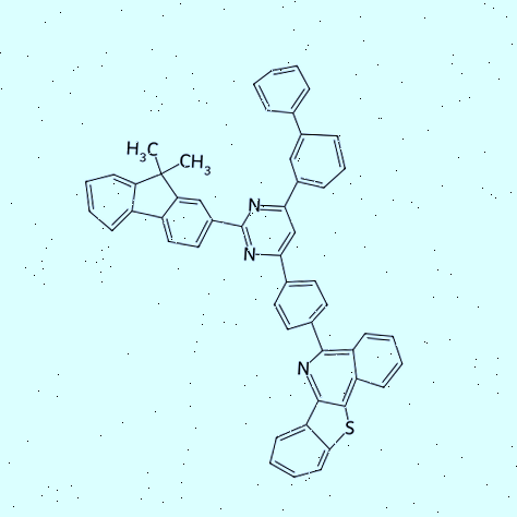 CC1(C)c2ccccc2-c2ccc(-c3nc(-c4ccc(-c5nc6c7ccccc7sc6c6ccccc56)cc4)cc(-c4cccc(-c5ccccc5)c4)n3)cc21